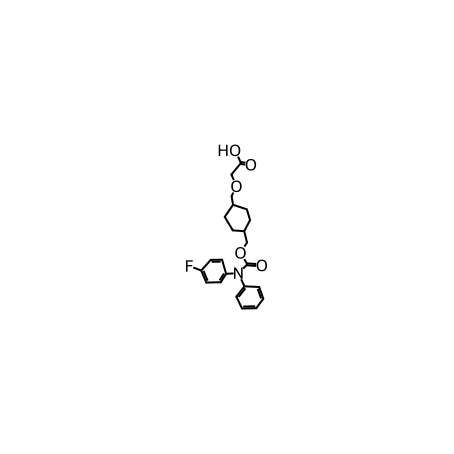 O=C(O)COCC1CCC(COC(=O)N(c2ccccc2)c2ccc(F)cc2)CC1